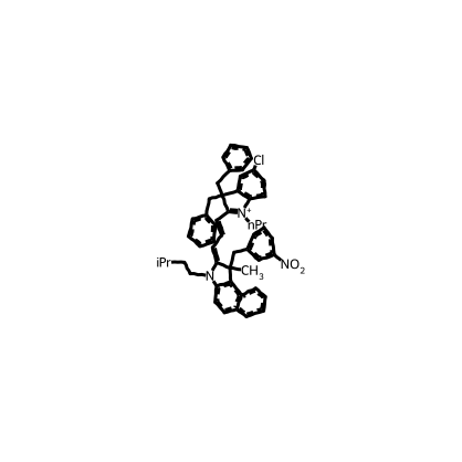 CCC[N+]1=C(/C=C/C=C2/N(CCC(C)C)c3ccc4ccccc4c3C2(C)Cc2cccc([N+](=O)[O-])c2)C(Cc2ccccc2)(Cc2ccccc2)c2cc(Cl)ccc21